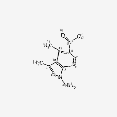 Cc1nn(N)c2ccc([N+](=O)[O-])c(C)c12